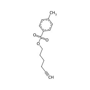 C#CCCCCOS(=O)(=O)c1ccc(C)cc1